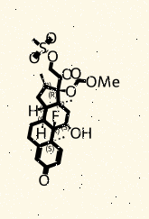 COC(=O)O[C@]1(C(=O)COS(C)(=O)=O)[C@H](C)C[C@H]2[C@@H]3CCC4=CC(=O)C=C[C@]4(C)[C@@]3(F)[C@@H](O)C[C@@]21C